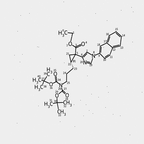 CCOC(=O)C1(c2cn(-c3ccc4ccccc4c3)cn2)C[C@H]1CCCN(C(=O)OC(C)(C)C)C(=O)OC(C)(C)C